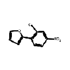 O=[N+]([O-])c1ccc(-c2cc[c]o2)c(Cl)c1